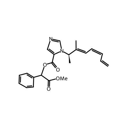 C=C/C=C\C=C(/C)[C@@H](C)n1cncc1C(=O)OC(C(=O)OC)c1ccccc1